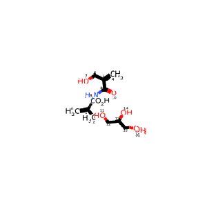 C=C(C)C(=O)O.C=C(CO)C(N)=O.OCC(O)CO